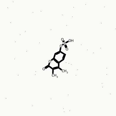 Cc1c(C)c2ccc(OS(=O)(=O)O)cc2oc1=O